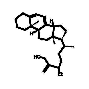 C=C(CO)C(CC)CC[C@@H](C)[C@H]1CC[C@H]2C3=CC=C4CCCC[C@]4(C)[C@H]3CC[C@]12C